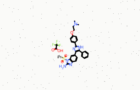 CC(C)S(=O)(=O)n1c(N)nc2ccc(-c3nc(-c4ccc(OCCN(C)C)cc4)[nH]c3-c3ccccc3)cc21.O=C(O)C(F)(F)F